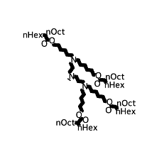 CCCCCCCCC(CCCCCC)C(=O)OCCCCCCN(CCCCCCOC(=O)C(CCCCCC)CCCCCCCC)CCCN(C)CCCN(CCCCCCOC(=O)C(CCCCCC)CCCCCCCC)CCCCCCOC(=O)C(CCCCCC)CCCCCCCC